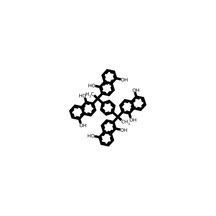 CC(c1ccc(C(C)(c2ccc3c(O)cccc3c2O)c2ccc3c(O)cccc3c2O)cc1)(c1ccc2c(O)cccc2c1O)c1ccc2c(O)cccc2c1O